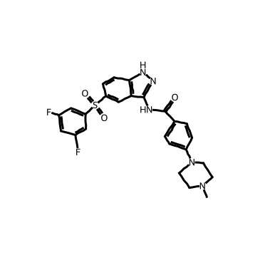 CN1CCN(c2ccc(C(=O)Nc3n[nH]c4ccc(S(=O)(=O)c5cc(F)cc(F)c5)cc34)cc2)CC1